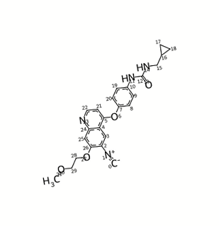 [C-]#[N+]c1cc2c(Oc3ccc(NC(=O)NCC4CC4)cc3)ccnc2cc1OCCOC